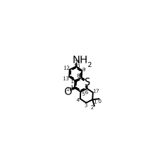 CC1(C)CCc2c(sc3cc(N)ccc3c2=O)C1